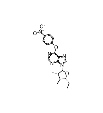 CC[C@H]1O[C@@H](n2cnc3c(Oc4ccc([N+](=O)[O-])cc4)ncnc32)[C@@H](C)C1C